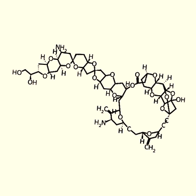 C=C1C[C@@H]2CC[C@@]34CC5(O)O[C@H]6[C@@H](O3)[C@H]3O[C@H](CC[C@@H]3O[C@H]6C5O4)CC(=O)O[C@@H]3CC4OC5C[C@]6(C[C@@H]7O[C@@]8(CC[C@@H]7O6)C[C@H](N)[C@@H]6O[C@@H]7C[C@@H]([C@@H](O)CO)O[C@@H]7C[C@@H]6O8)O[C@@H]5C[C@@H]4O[C@H]3C[C@H]3O[C@@H](CC[C@@H]1O2)C[C@@H](N)C3=C